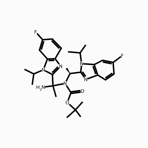 CC(C)n1c([C@H](C)N(C(=O)OC(C)(C)C)C(C)(N)c2nc3ccc(F)cc3n2C(C)C)nc2ccc(F)cc21